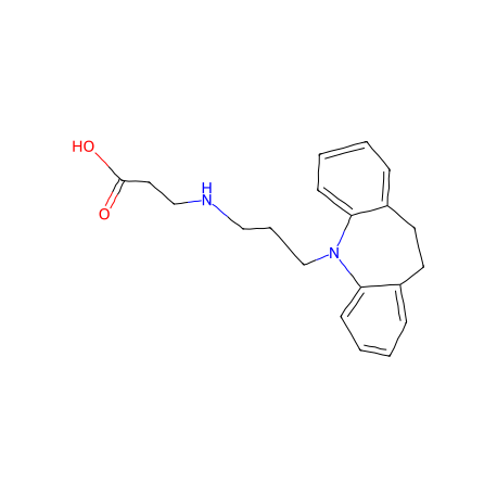 O=C(O)CCNCCCN1c2ccccc2CCc2ccccc21